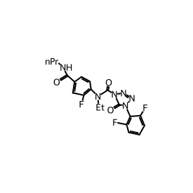 CCCNC(=O)c1ccc(N(CC)C(=O)n2nnn(-c3c(F)cccc3F)c2=O)c(F)c1